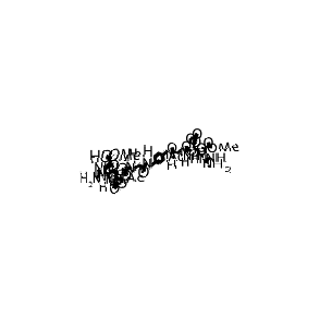 COC(=O)C1=C[C@H](NC(=N)N)[C@@H](NC(C)=O)[C@H]([C@H](OC(=O)NCCC(=O)NCc2ccc(CNC(=O)CCNC(=O)O[C@H](C3COC(=O)O3)[C@@H]3OC([C@H](O)OC)=C[C@H](NC(=N)N)C3NC(C)=O)cc2)[C@H]2COC(=O)O2)O1